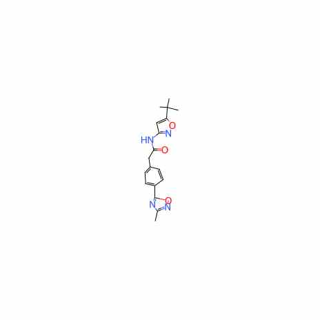 Cc1noc(-c2ccc(CC(=O)Nc3cc(C(C)(C)C)on3)cc2)n1